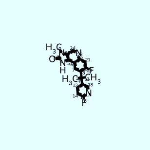 Cn1c(=O)[nH]c2c3cc(C(C)(C)c4ccc(F)nc4)c(F)cc3ncc21